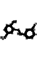 Nc1ccc(O)c(CNc2cccc(F)c2)c1